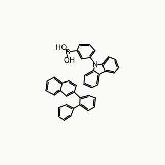 OB(O)c1cccc(-n2c3ccccc3c3ccccc32)c1.c1ccc(-c2ccccc2-c2ccc3ccccc3c2)cc1